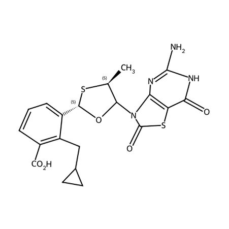 C[C@@H]1S[C@@H](c2cccc(C(=O)O)c2CC2CC2)OC1n1c(=O)sc2c(=O)[nH]c(N)nc21